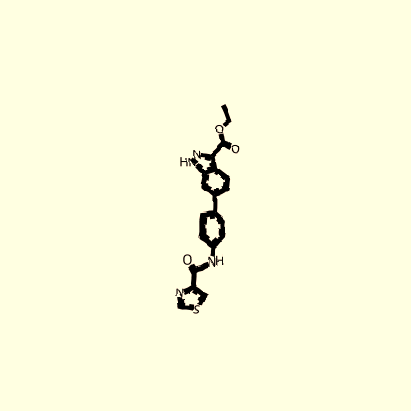 CCOC(=O)c1n[nH]c2cc(-c3ccc(NC(=O)c4cscn4)cc3)ccc12